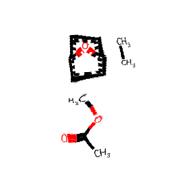 CC.COC(C)=O.c1cc2ccc1o2